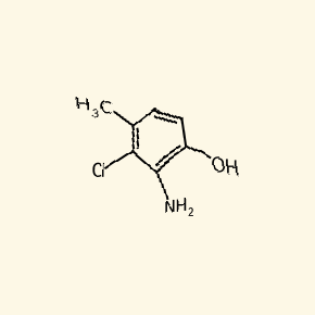 Cc1ccc(O)c(N)c1Cl